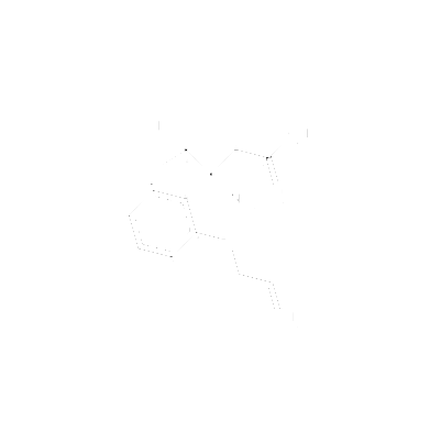 C=CCOc1ccccc1C(N)(CC(=O)O)C(F)(F)F